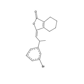 CC(/C=C1/OC(=O)C2=C1CCCC2)c1cccc(Br)c1